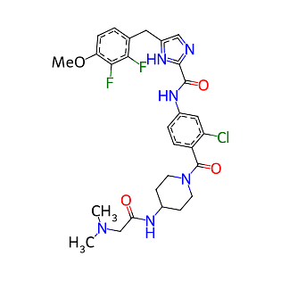 COc1ccc(Cc2cnc(C(=O)Nc3ccc(C(=O)N4CCC(NC(=O)CN(C)C)CC4)c(Cl)c3)[nH]2)c(F)c1F